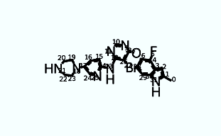 Cc1cc2c(F)c(Oc3ncnc(Nc4ccc(N5CCNCC5)cn4)c3Br)ccc2[nH]1